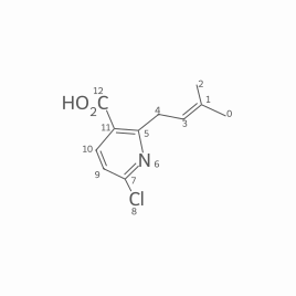 CC(C)=CCc1nc(Cl)ccc1C(=O)O